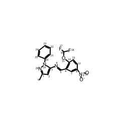 Cc1cc(N=Cc2cc([N+](=O)[O-])ccc2OC(F)F)n(-c2ccccc2)n1